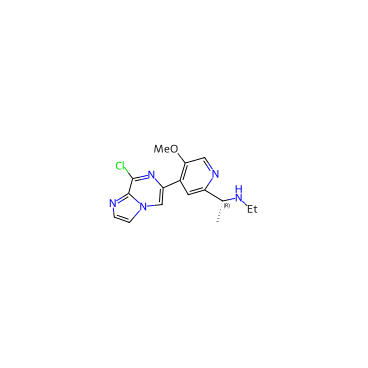 CCN[C@H](C)c1cc(-c2cn3ccnc3c(Cl)n2)c(OC)cn1